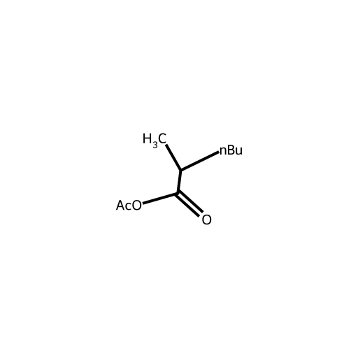 CCCCC(C)C(=O)OC(C)=O